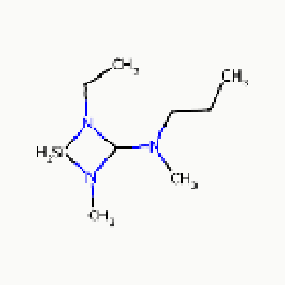 CCCN(C)C1N(C)[SiH2]N1CC